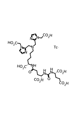 O=C(O)CC[C@H](NC(=O)N[C@@H](CCC(=O)N[C@@H](CCCCN(Cc1nccn1CC(=O)O)Cc1nccn1CC(=O)O)C(=O)O)C(=O)O)C(=O)O.[Tc]